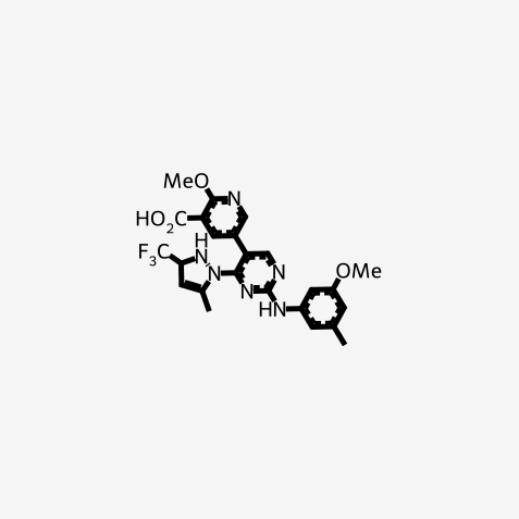 COc1cc(C)cc(Nc2ncc(-c3cnc(OC)c(C(=O)O)c3)c(N3NC(C(F)(F)F)C=C3C)n2)c1